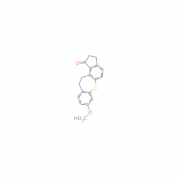 O=C(O)Oc1ccc2c(c1)Sc1ccc3c(c1CC2)C(=O)CC3